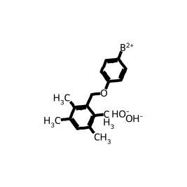 [B+2]c1ccc(OCc2c(C)c(C)cc(C)c2C)cc1.[OH-].[OH-]